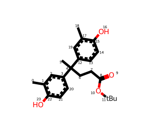 Cc1cc(C(C)(CCC(=O)OC(C)(C)C)c2ccc(O)c(C)c2)ccc1O